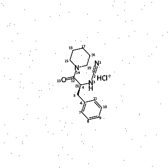 Cl.N#CN[C@@H](Cc1ccccc1)C(=O)N1CCCCC1